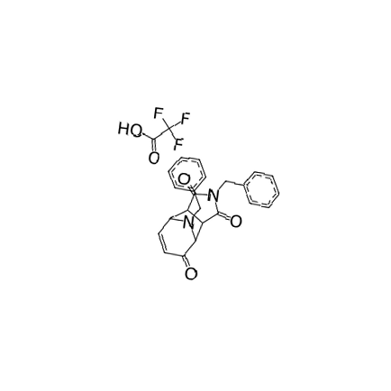 O=C(O)C(F)(F)F.O=C1C=CC2C3C(=O)N(Cc4ccccc4)C(=O)C3C1N2Cc1ccccc1